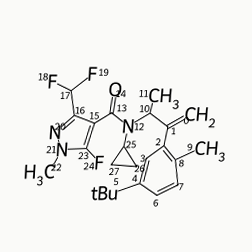 C=C(c1cc(C(C)(C)C)ccc1C)C(C)N(C(=O)c1c(C(F)F)nn(C)c1F)C1CC1